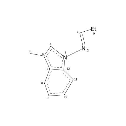 CCC=Nn1cc(C)c2ccccc21